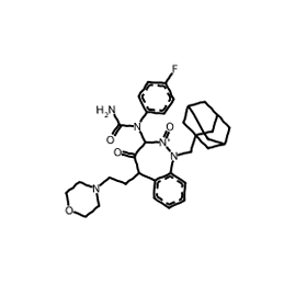 NC(=O)N(c1ccc(F)cc1)C1C(=O)C(CCN2CCOCC2)c2ccccc2N(CC23CC4CC(CC(C4)C2)C3)[N+]1=O